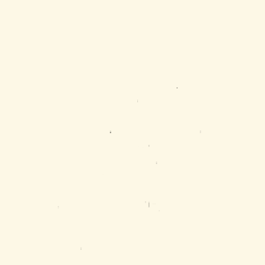 CCOC1=CC(C)c2c1cnc1c(-c3cccc(Cl)c3)c(N)nn21